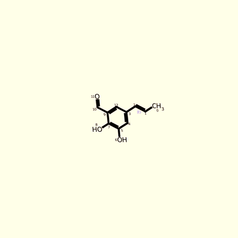 C/C=C/c1cc(O)c(O)c(C=O)c1